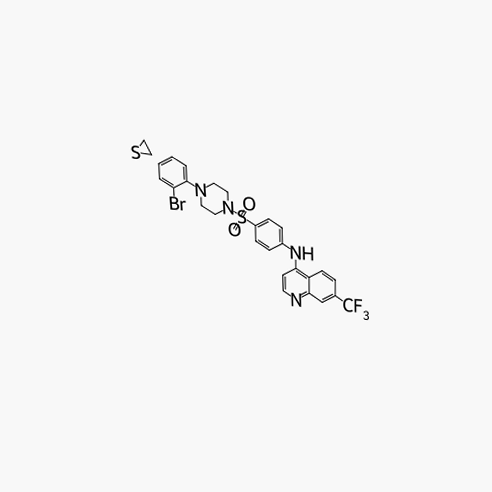 C1CS1.O=S(=O)(c1ccc(Nc2ccnc3cc(C(F)(F)F)ccc23)cc1)N1CCN(c2ccccc2Br)CC1